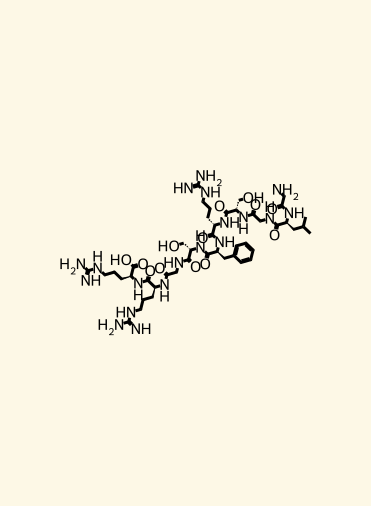 CC(C)C[C@H](NC(=O)CN)C(=O)NCC(=O)N[C@@H](CO)C(=O)N[C@@H](CCCNC(=N)N)C(=O)N[C@@H](Cc1ccccc1)C(=O)N[C@@H](CO)C(=O)NCC(=O)N[C@@H](CCCNC(=N)N)C(=O)N[C@@H](CCCNC(=N)N)C(=O)O